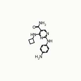 NC(=O)c1cnc(Nc2ccc(N)cc2)nc1NC1CCC1